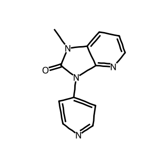 Cn1c(=O)n(-c2ccncc2)c2ncccc21